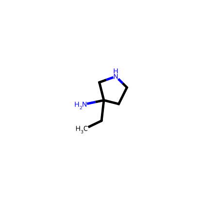 CCC1(N)CCNC1